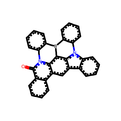 O=c1c2ccccc2c2cc3c4ccccc4n4c3c3c2n1-c1ccccc1B3c1ccccc1-4